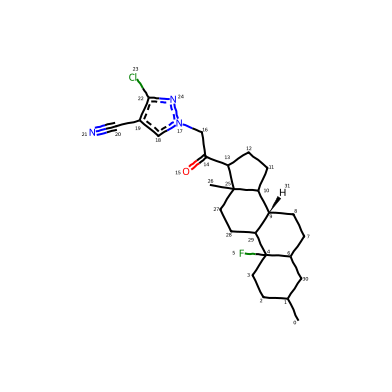 CC1CCC2(F)C(CC[C@H]3C4CCC(C(=O)Cn5cc(C#N)c(Cl)n5)C4(C)CCC32)C1